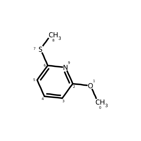 COc1cccc(SC)n1